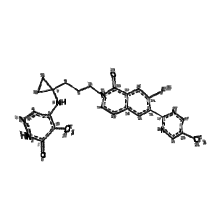 O=c1[nH]ncc(NC2(CCCn3ccc4cc(-c5ncc(C(F)(F)F)cn5)c(F)cc4c3=O)CC2)c1C(F)(F)F